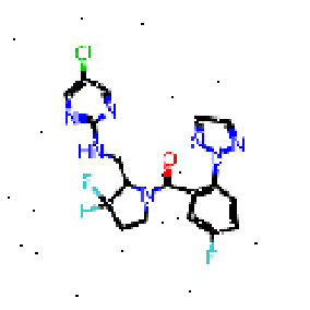 O=C(c1cc(F)ccc1-n1nccn1)N1CCC(F)(F)C1CNc1ncc(Cl)cn1